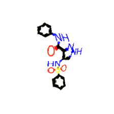 O=C(Nc1ccccc1)c1n[nH]cc1NS(=O)(=O)c1ccccc1